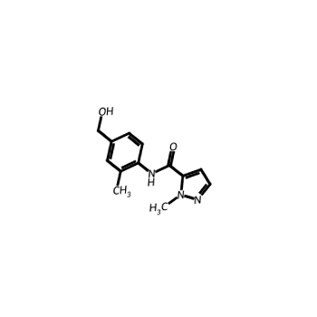 Cc1cc(CO)ccc1NC(=O)c1ccnn1C